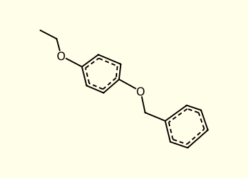 CCOc1ccc(OCc2ccccc2)cc1